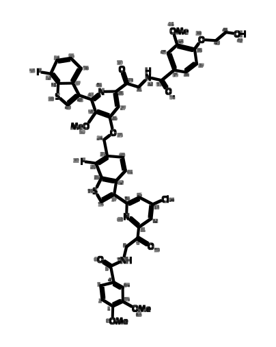 COc1ccc(C(=O)NCC(=O)c2cc(Cl)cc(-c3csc4c(F)c(COc5cc(C(=O)CNC(=O)c6ccc(OCCO)c(OC)c6)nc(-c6csc7c(F)cccc67)c5OC)ccc34)n2)cc1OC